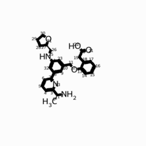 C[C@@H](N)c1cccc(-c2cc(COc3ccccc3CC(=O)O)cc(NC[C@H]3CCCO3)c2)n1